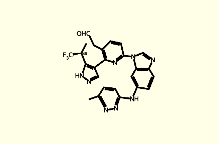 Cc1ccc(Nc2ccc3ncn(-c4ccc(CC=O)c(-c5cn[nH]c5[C@H](C)C(F)(F)F)n4)c3c2)nn1